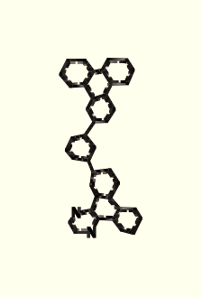 c1cc(-c2ccc3c4ccccc4c4ccccc4c3c2)cc(-c2ccc3c4ccccc4c4nccnc4c3c2)c1